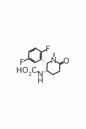 CN1C(=O)CC[C@H](NC(=O)O)[C@@H]1c1cc(F)ccc1F